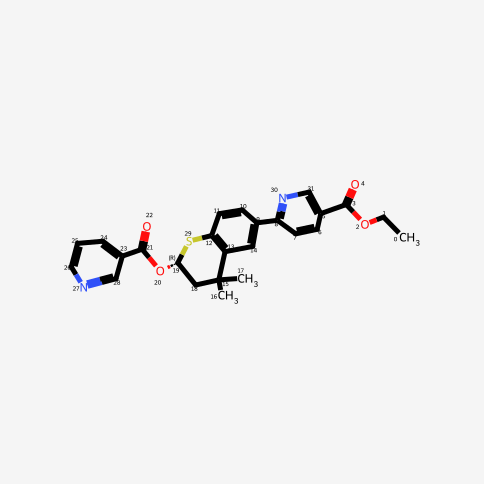 CCOC(=O)c1ccc(-c2ccc3c(c2)C(C)(C)C[C@H](OC(=O)c2cccnc2)S3)nc1